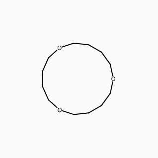 C1CCOCCCCOCCCCOC1